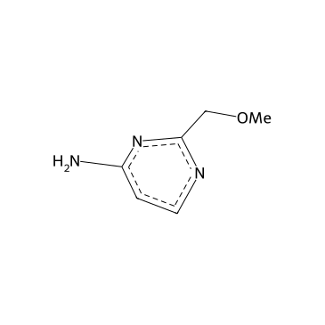 COCc1nccc(N)n1